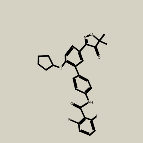 CC1(C)ON=C(c2ccc(OC3CCCC3)c(-c3ccc(NC(=O)c4c(F)cccc4F)cc3)c2)C1=O